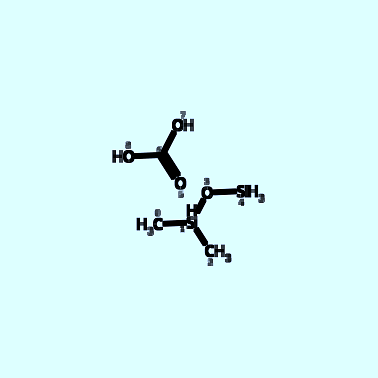 C[SiH](C)O[SiH3].O=C(O)O